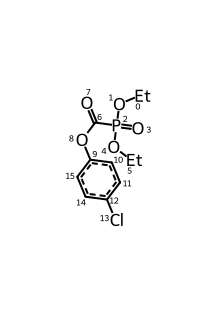 CCOP(=O)(OCC)C(=O)Oc1ccc(Cl)cc1